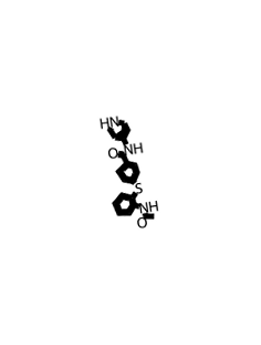 CC(=O)Nc1ccccc1Sc1ccc(C(=O)NC2CC3CC2CN3)cc1